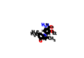 CCOc1cc(-n2c(C)cc3c2CC(C)(C)CC3=O)ccc1C(N)=O